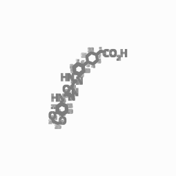 O=C(O)CC1CCC(c2ccc3[nH]c(-c4nnc(Nc5ccc6c(c5)OCCO6)o4)nc3c2)CC1